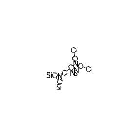 C[Si](C)(C)c1ccc2c(c1)c1cc([Si](C)(C)C)ccc1n2-c1ccc(-c2ccc(N(c3ccc(-c4ccccc4)cc3)c3ccc(-c4ccccc4)cc3)c3nsnc23)cc1